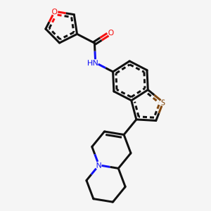 O=C(Nc1ccc2scc(C3=CCN4CCCCC4C3)c2c1)c1ccoc1